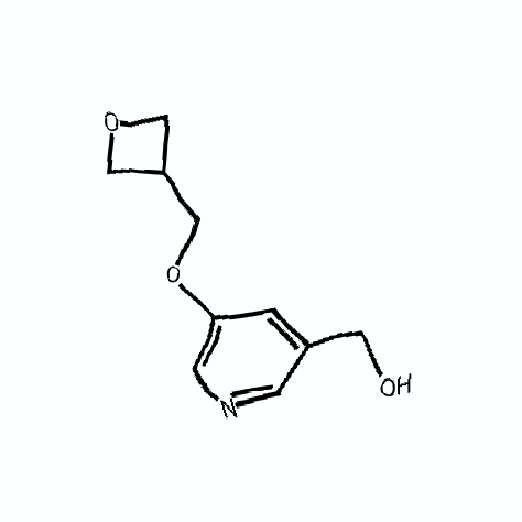 OCc1cncc(OCC2COC2)c1